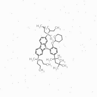 CCC[Si](C)(CCC)c1ccc2c3ccc([Si](C)(CCC)C(C)CC)cc3n(-c3cc(C(C)(C)CC(C)(C)C)ccc3OC3CCCCO3)c2c1